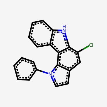 Clc1cc2ccn(-c3ccccc3)c2c2c1[nH]c1ccccc12